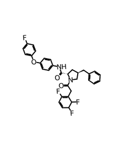 O=C(Nc1ccc(Oc2ccc(F)cc2)cc1)[C@@H]1C[C@@H](Cc2ccccc2)CN1C(=O)CC1=C(F)C=CC(F)C1F